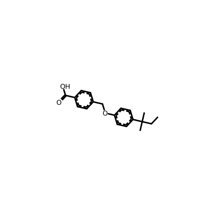 CCC(C)(C)c1ccc(OCc2ccc(C(=O)O)cc2)cc1